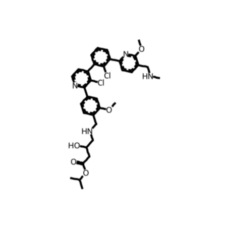 CNCc1ccc(-c2cccc(-c3ccnc(-c4ccc(CNCC(O)CC(=O)OC(C)C)c(OC)c4)c3Cl)c2Cl)nc1OC